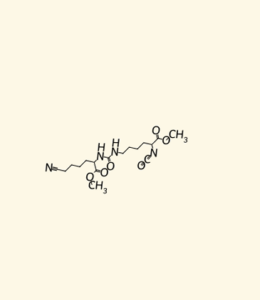 COC(=O)C(CCCCNC(=O)NC(CCCCC#N)C(=O)OC)N=C=O